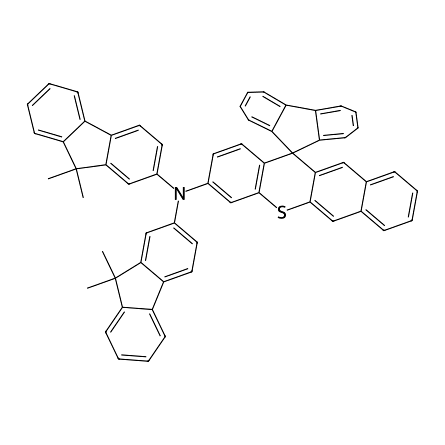 CC1(C)c2ccccc2-c2ccc(N(c3ccc4c(c3)Sc3cc5ccccc5cc3C43c4ccccc4-c4ccccc43)c3ccc4c(c3)C(C)(C)c3ccccc3-4)cc21